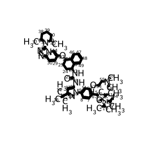 CC(C)[Si](OCc1ccc(-n2nc(C(C)(C)C)cc2NC(=O)N[C@H]2CC[C@@H](Oc3ccc4nnc(N5[C@H](C)CCC[C@@H]5C)n4c3)c3ccccc32)cc1OCCN(C)C)(C(C)C)C(C)I